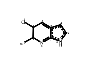 ClC1C=c2cc[nH]c2=NC1I